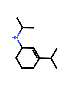 CC(C)NC1C=C(C(C)C)CCC1